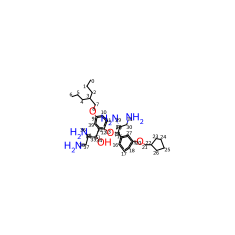 CCCC(CCC)COc1ccc(O[C@@H](c2cccc(OCC3CCCC3)c2)[C@H](N)CN)c([C@H](O)[C@H](N)CN)c1